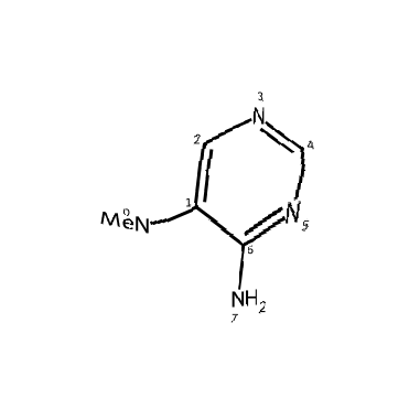 CNc1cncnc1N